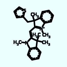 CN1C(=CC2=[N+](C)c3ccccc3C2(C)Cc2cccs2)C(C)(C)c2ccccc21